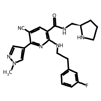 Cn1cc(-c2nc(NCCc3cccc(F)c3)c(C(=O)NC[C@H]3CCCN3)cc2C#N)cn1